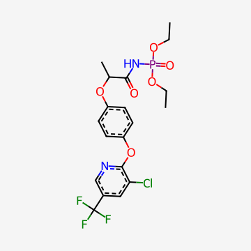 CCOP(=O)(NC(=O)C(C)Oc1ccc(Oc2ncc(C(F)(F)F)cc2Cl)cc1)OCC